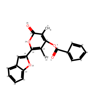 Cc1c(OC(=O)c2ccccc2)c(C(C)C)c(-c2cc3ccccc3o2)oc1=O